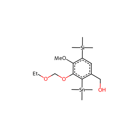 CCOCOc1c(OC)c([Si](C)(C)C)cc(CO)[c]1[Sn]([CH3])([CH3])[CH3]